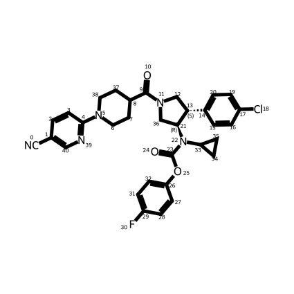 N#Cc1ccc(N2CCC(C(=O)N3C[C@H](c4ccc(Cl)cc4)[C@@H](N(C(=O)Oc4ccc(F)cc4)C4CC4)C3)CC2)nc1